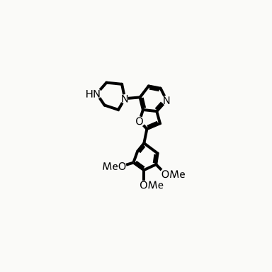 COc1cc(-c2cc3nccc(N4CCNCC4)c3o2)cc(OC)c1OC